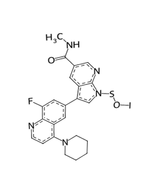 CNC(=O)c1cnc2c(c1)c(-c1cc(F)c3nccc(N4CCCCC4)c3c1)cn2SOI